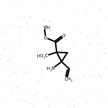 C=CC1(N)CC1(C(=O)O)C(=O)OC(C)(C)C